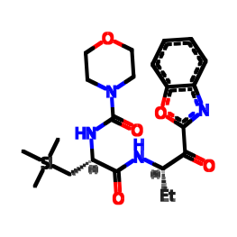 CC[C@H](NC(=O)[C@H](C[Si](C)(C)C)NC(=O)N1CCOCC1)C(=O)c1nc2ccccc2o1